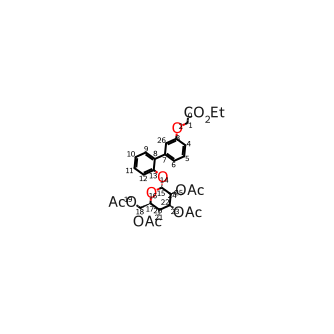 CCOC(=O)COc1cccc(-c2ccccc2O[C@H]2O[C@H](COC(C)=O)[C@@H](OC(C)=O)[C@H](OC(C)=O)[C@@H]2OC(C)=O)c1